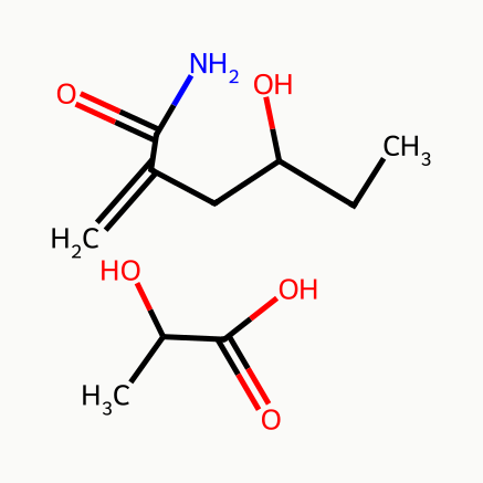 C=C(CC(O)CC)C(N)=O.CC(O)C(=O)O